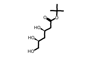 CC(C)(C)OC(=O)C[C@H](O)C[C@H](O)CO